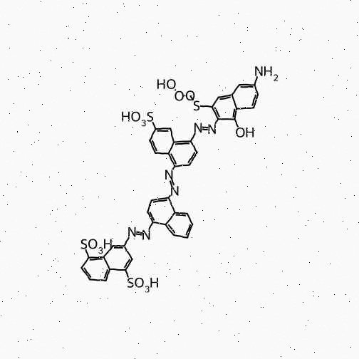 Nc1ccc2c(O)c(N=Nc3ccc(N=Nc4ccc(N=Nc5cc(S(=O)(=O)O)c6cccc(S(=O)(=O)O)c6c5)c5ccccc45)c4ccc(S(=O)(=O)O)cc34)c(SOOO)cc2c1